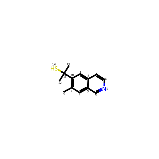 Cc1cc2cnccc2cc1C(C)(C)S